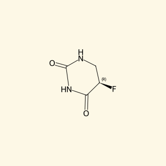 O=C1NC[C@@H](F)C(=O)N1